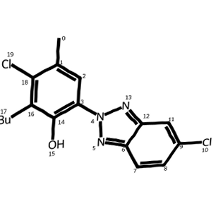 Cc1cc(-n2nc3ccc(Cl)cc3n2)c(O)c(C(C)(C)C)c1Cl